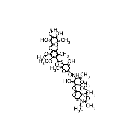 CCN(C(C)=O)[C@H]1CO[C@@H](O[C@H]2C(OC)O[C@H](C)C(NO[C@H]3C[C@H](O)C(SC(=O)c4c(C)c(I)c(O[C@@H]5O[C@@H](C)[C@H](O)[C@@H](OC)[C@H]5O)c(OC)c4OC)[C@@H](C)O3)[C@@H]2O)C[C@@H]1OC